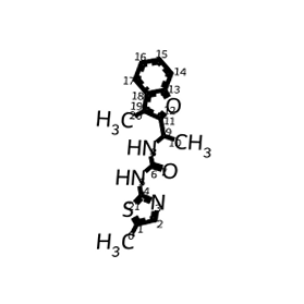 Cc1cnc(NC(=O)NC(C)c2oc3ccccc3c2C)s1